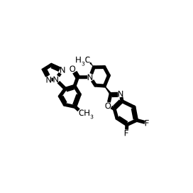 Cc1ccc(-n2nccn2)c(C(=O)N2C[C@H](c3nc4cc(F)c(F)cc4o3)CC[C@H]2C)c1